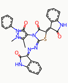 Cc1c(N2C(=O)/C(=C3/C(=O)Nc4ccccc43)S/C2=N/N=C2/C(=O)Nc3ccccc32)c(=O)n(-c2ccccc2)n1C